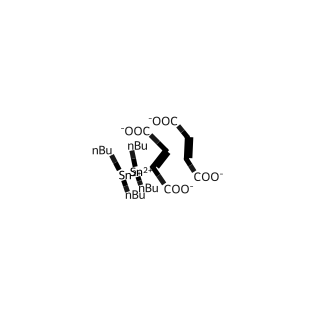 CCC[CH2][Sn+2][CH2]CCC.CCC[CH2][Sn+2][CH2]CCC.O=C([O-])/C=C/C(=O)[O-].O=C([O-])/C=C/C(=O)[O-]